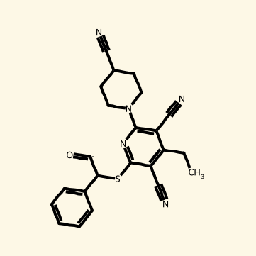 CCc1c(C#N)c(SC([C]=O)c2ccccc2)nc(N2CCC(C#N)CC2)c1C#N